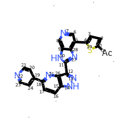 CC(=O)c1ccc(-c2cncc3[nH]c(-c4n[nH]c5ccc(-c6ccncc6)nc45)nc23)s1